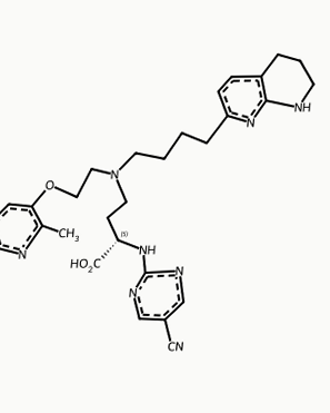 Cc1ncccc1OCCN(CCCCc1ccc2c(n1)NCCC2)CC[C@H](Nc1ncc(C#N)cn1)C(=O)O